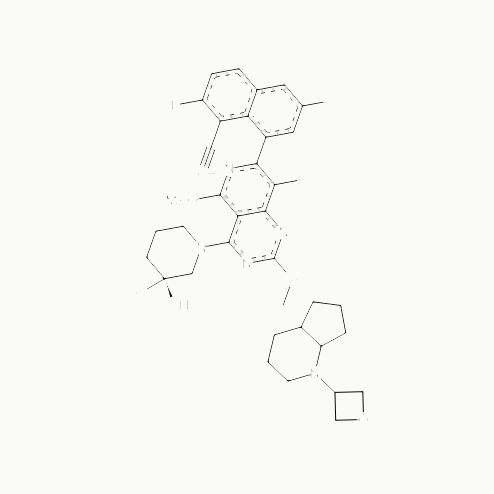 C#Cc1c(F)ccc2cc(O)cc(-c3nc(OC)c4c(N5CCC[C@@](C)(O)C5)nc(OC[C@]56CCC[C@H]5N(C5COC5)CCC6)nc4c3F)c12